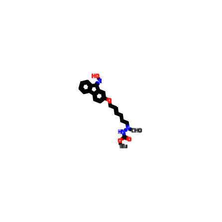 CC(C)(C)OC(=O)NN(C=O)CCC/C=C/COc1ccc2c(c1)/C(=N/O)c1ccccc1-2